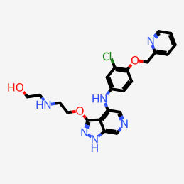 OCCNCCOc1n[nH]c2cncc(Nc3ccc(OCc4ccccn4)c(Cl)c3)c12